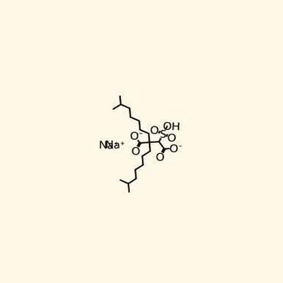 CC(C)CCCCCC(CCCCCC(C)C)(C(=O)[O-])C(C(=O)[O-])S(=O)(=O)O.[Na+].[Na+]